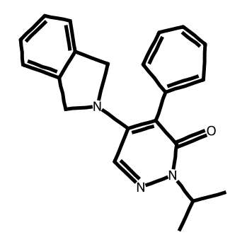 CC(C)n1ncc(N2Cc3ccccc3C2)c(-c2ccccc2)c1=O